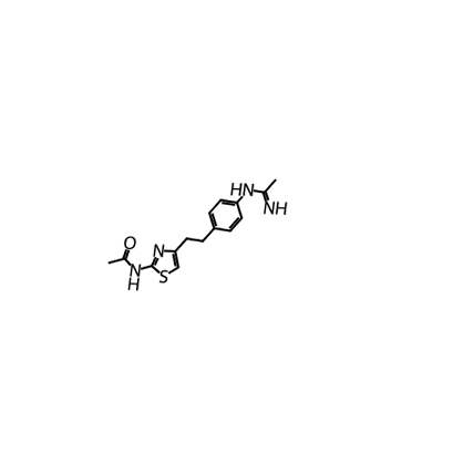 CC(=N)Nc1ccc(CCc2csc(NC(C)=O)n2)cc1